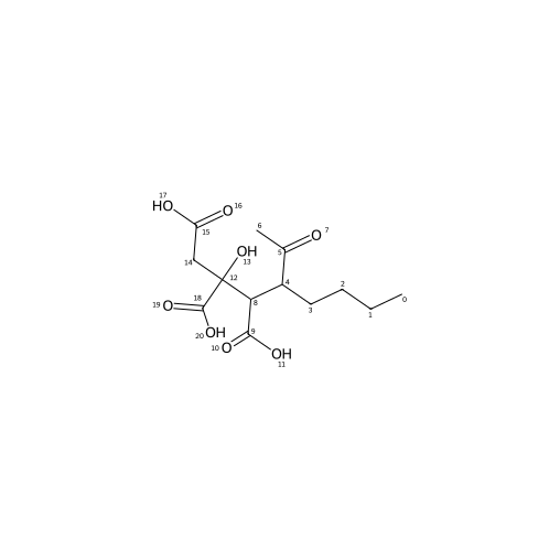 CCCCC(C(C)=O)C(C(=O)O)C(O)(CC(=O)O)C(=O)O